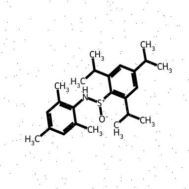 Cc1cc(C)c(N[S+]([O-])c2c(C(C)C)cc(C(C)C)cc2C(C)C)c(C)c1